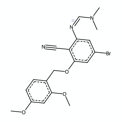 COc1ccc(COc2cc(Br)cc(/N=C\N(C)C)c2C#N)c(OC)c1